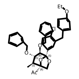 CCOc1ccc(Cc2cc([C@]34OC[C@](C(C)=O)(O3)[C@@H](C)[C@H](OCc3ccccc3)[C@H]4OCc3ccccc3)ccc2Cl)cc1